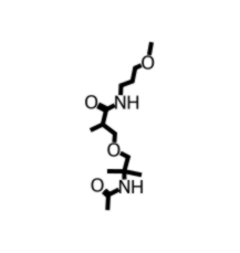 COCCCNC(=O)C(C)COCC(C)(C)NC(C)=O